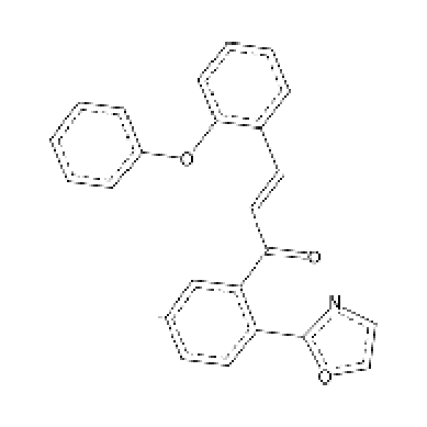 O=C(C=Cc1ccccc1Oc1ccccc1)c1c[c]ccc1-c1ncco1